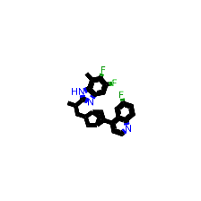 Cc1c(F)c(F)cc2nc(C(C)CC3CC4CC3CC4c3ccnc4ccc(F)cc34)[nH]c12